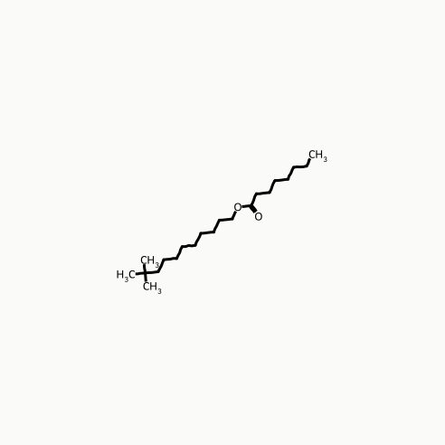 CCCCCCCC(=O)OCCCCCCCCCC(C)(C)C